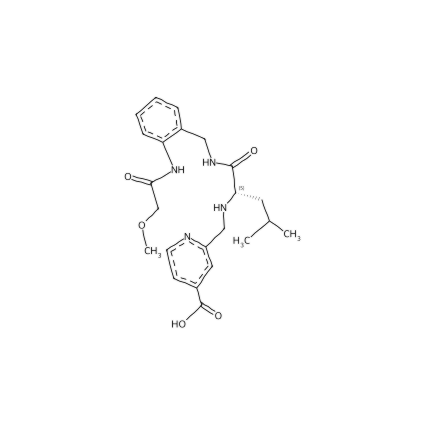 COCC(=O)Nc1ccccc1CNC(=O)[C@H](CC(C)C)NCc1cc(C(=O)O)ccn1